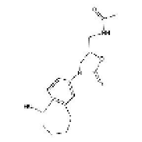 CC(=O)NCC1CN(c2ccc3c(c2)CCCCC3O)C(=O)O1